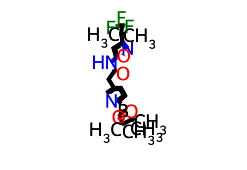 CC1(C)OB(c2ccc(CC(=O)Nc3cc(C(C)(C)C(F)(F)F)no3)cn2)OC1(C)C